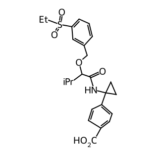 CCS(=O)(=O)c1cccc(COC(C(=O)NC2(c3ccc(C(=O)O)cc3)CC2)C(C)C)c1